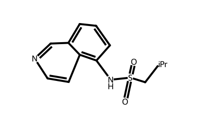 CC(C)CS(=O)(=O)Nc1cccc2cnccc12